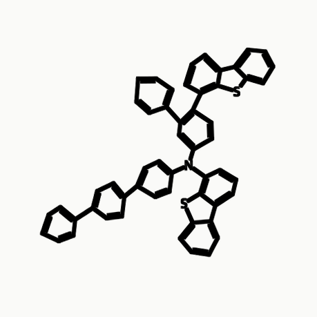 c1ccc(-c2ccc(-c3ccc(N(c4ccc(-c5cccc6c5sc5ccccc56)c(-c5ccccc5)c4)c4cccc5c4sc4ccccc45)cc3)cc2)cc1